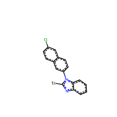 CCc1nc2ccccc2n1-c1ccc2cc(Cl)ccc2c1